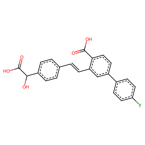 O=C(O)c1ccc(-c2ccc(F)cc2)cc1C=Cc1ccc(C(O)C(=O)O)cc1